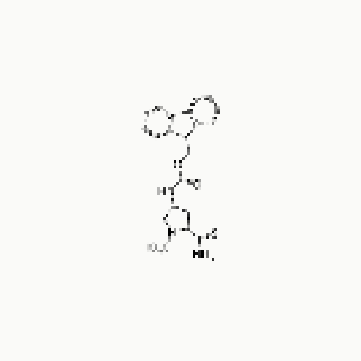 NC(=S)C1CC(NC(=O)OCC2c3ccccc3-c3ccccc32)CN1C(=O)O